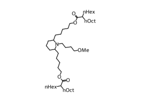 CCCCCCCCC(CCCCCC)C(=O)OCCCCCC1CCCC(CCCCCOC(=O)C(CCCCCC)CCCCCCCC)N1CCCCOC